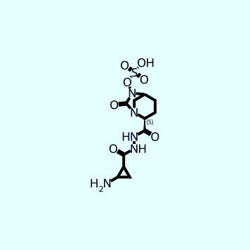 NC1CC1C(=O)NNC(=O)[C@@H]1CCC2CN1C(=O)N2OS(=O)(=O)O